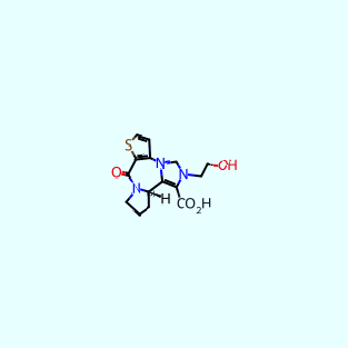 O=C(O)C1=C2[C@@H]3CCCN3C(=O)c3sccc3N2CN1CCO